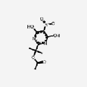 CC(=O)OC(C)(C)c1nc(O)c([N+](=O)[O-])c(O)n1